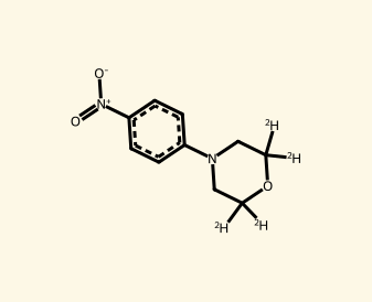 [2H]C1([2H])CN(c2ccc([N+](=O)[O-])cc2)CC([2H])([2H])O1